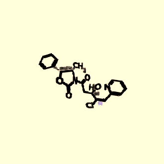 C[C@H]1[C@@H](c2ccccc2)OC(=O)N1C(=O)C[C@@H](O)/C(Cl)=C\c1ccccn1